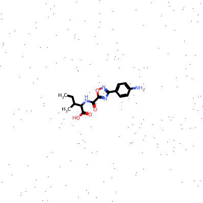 CCC(C)C(NC(=O)c1nc(-c2ccc(N)cc2)no1)C(=O)O